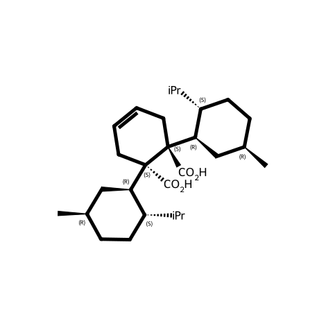 CC(C)[C@@H]1CC[C@@H](C)C[C@H]1[C@@]1(C(=O)O)CC=CC[C@]1(C(=O)O)[C@@H]1C[C@H](C)CC[C@H]1C(C)C